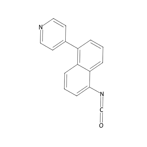 O=C=Nc1cccc2c(-c3ccncc3)cccc12